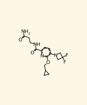 NC(=O)CCNC(=O)c1ccc(N2CC(F)(F)C2)c(OCC2CC2)n1